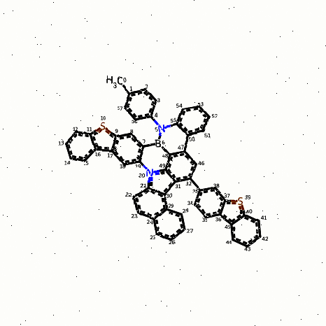 Cc1ccc(N2B3c4cc5sc6ccccc6c5cc4-n4c5ccc6ccccc6c5c5c(-c6ccc7c(c6)sc6ccccc67)cc(c3c54)-c3ccccc32)cc1